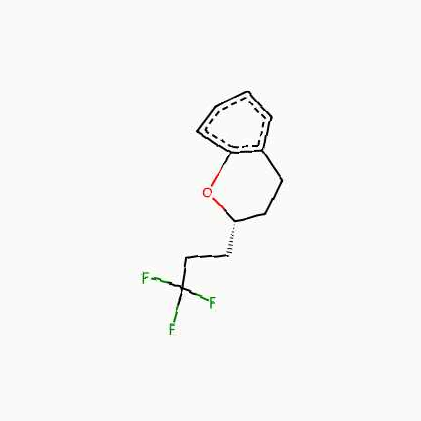 FC(F)(F)CC[C@H]1CCc2ccccc2O1